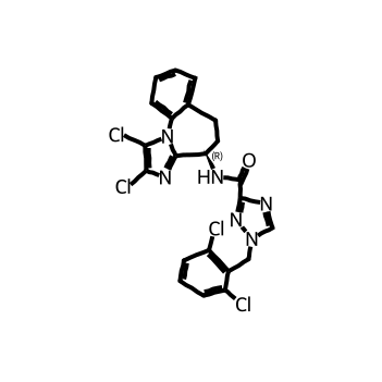 O=C(N[C@@H]1CCc2ccccc2-n2c1nc(Cl)c2Cl)c1ncn(Cc2c(Cl)cccc2Cl)n1